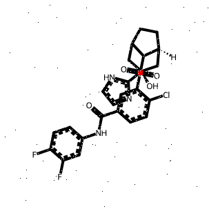 O=C(Nc1ccc(F)c(F)c1)c1ccc(Cl)c(S(=O)(=O)C2C3CC[C@H]2C[C@](O)(c2ncc[nH]2)C3)c1